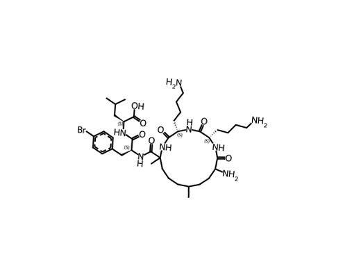 CC(C)C[C@H](NC(=O)[C@H](Cc1ccc(Br)cc1)NC(=O)C1(C)CCCC(C)CCC(N)C(=O)N[C@@H](CCCCN)C(=O)N[C@@H](CCCCN)C(=O)N1)C(=O)O